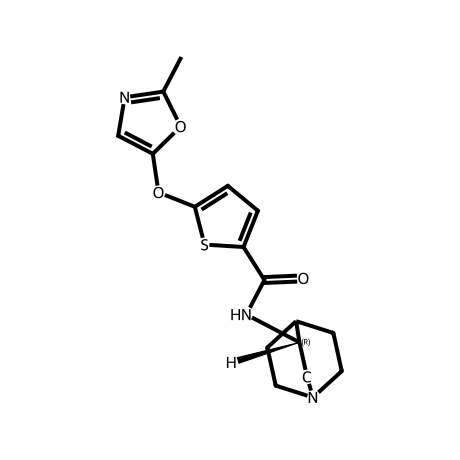 Cc1ncc(Oc2ccc(C(=O)N[C@H]3CN4CCC3CC4)s2)o1